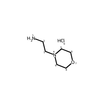 Cl.NCCN1CCOCC1